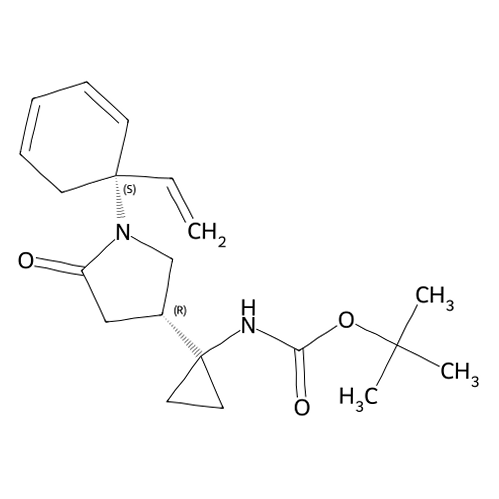 C=C[C@]1(N2C[C@H](C3(NC(=O)OC(C)(C)C)CC3)CC2=O)C=CC=CC1